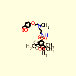 CN(CCCNS(=O)(=O)c1cc(C(C)(C)C)c(O)c(C(C)(C)C)c1)CCOc1ccc2c(c1)OOC2